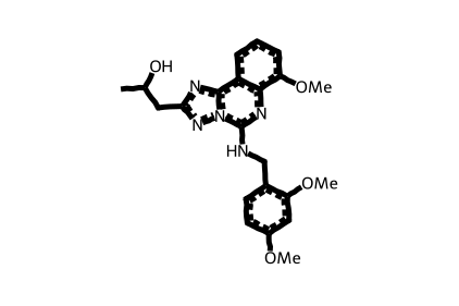 COc1ccc(CNc2nc3c(OC)cccc3c3nc(CC(C)O)nn23)c(OC)c1